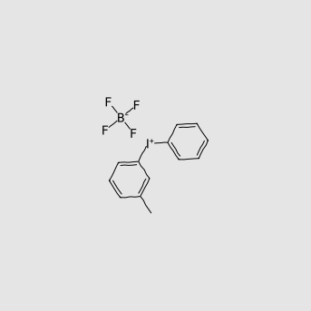 Cc1cccc([I+]c2ccccc2)c1.F[B-](F)(F)F